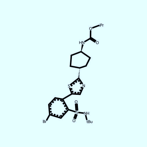 CC(C)OC(=O)N[C@H]1CC[C@H](c2ncc(-c3ccc(Br)cc3S(=O)(=O)NC(C)(C)C)s2)CC1